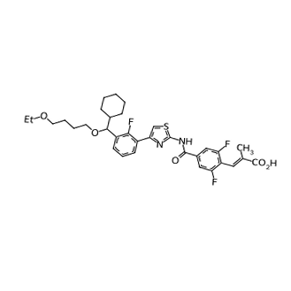 CCOCCCCOC(c1cccc(-c2csc(NC(=O)c3cc(F)c(/C=C(\C)C(=O)O)c(F)c3)n2)c1F)C1CCCCC1